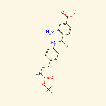 COC(=O)c1ccc(C(=O)Nc2ccc(CCN(C)C(=O)OC(C)(C)C)cc2)c(N)c1